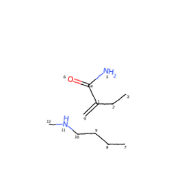 C=C(CC)C(N)=O.CCCCNC